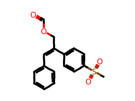 CS(=O)(=O)c1ccc(/C(=C\c2ccccc2)COC=O)cc1